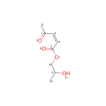 CC(=O)/C=C\C(=O)OCC(C)O